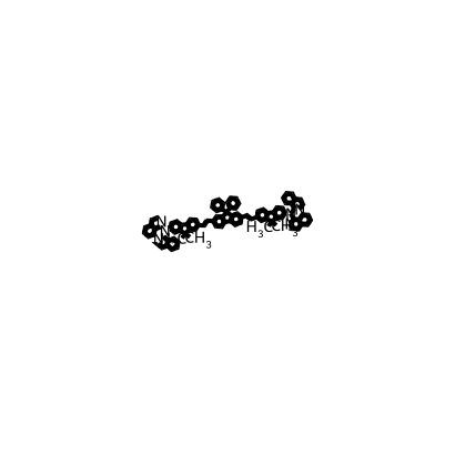 CC1(C)c2cc(/C=C/c3ccc4c(c3)C(c3ccccc3)(c3ccccc3)c3cc(/C=C/c5ccc6c(c5)C(C)(C)c5cc(N(c7nccc8ccccc78)c7nccc8ccccc78)ccc5-6)ccc3-4)ccc2-c2ccc(N(c3nccc4ccccc34)c3nccc4ccccc34)cc21